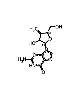 C=C1C(O)[C@H](n2cnc3c(=O)[nH]c(N)nc32)O[C@@H]1CO